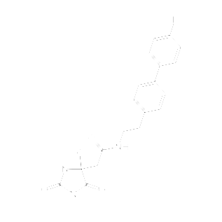 CC1(CC(=O)NCCc2ccc(-c3ccc(F)cc3)cc2)NC(=O)NC1=O